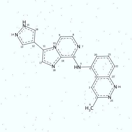 Cc1cc2c(Nc3nccn4c(-c5cn[nH]c5)cnc34)cccc2nn1